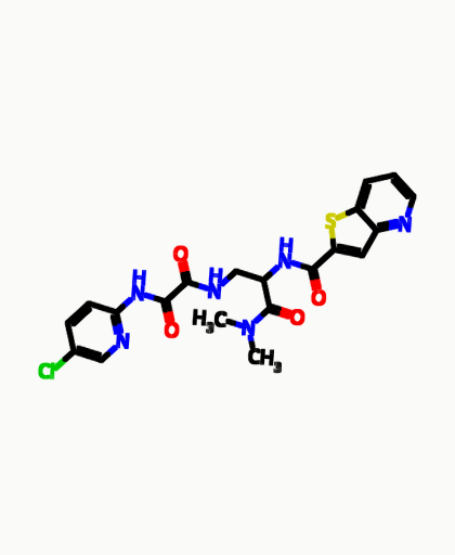 CN(C)C(=O)C(CNC(=O)C(=O)Nc1ccc(Cl)cn1)NC(=O)c1cc2ncccc2s1